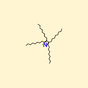 CCCCCCCCC1=C(CCCCCCCC)C(CCCCCCCC)=C(CCCCCCCC)[N]1